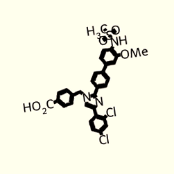 COc1cc(-c2ccc(-c3nc(-c4ccc(Cl)cc4Cl)cn3Cc3ccc(C(=O)O)cc3)cc2)ccc1NS(C)(=O)=O